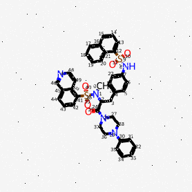 CN(C(Cc1ccc(NS(=O)(=O)c2cccc3ccccc23)cc1)C(=O)N1CCN(c2ccccc2)CC1)S(=O)(=O)c1cccc2cnccc12